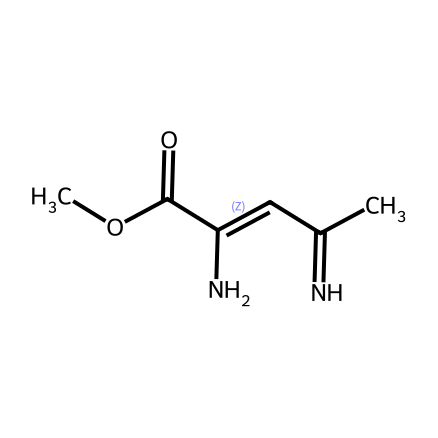 COC(=O)/C(N)=C/C(C)=N